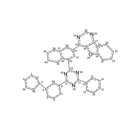 c1ccc(-c2cccc(-c3nc(-c4ccccc4)nc(-c4cc(-c5ncnc6c5oc5ccccc56)cc5ccccc45)n3)c2)cc1